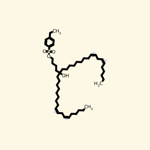 CCCCC/C=C\C/C=C\CCCCCCCCC(O)(CCCCCCCC/C=C\C/C=C\CCCCC)CCCCOS(=O)(=O)c1ccc(CC)cc1